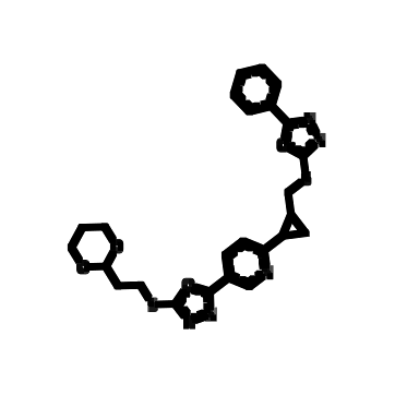 c1ccc(-c2nnc(SCC3CC3c3ccc(-c4nnc(SCCC5OCCCO5)o4)cn3)o2)cc1